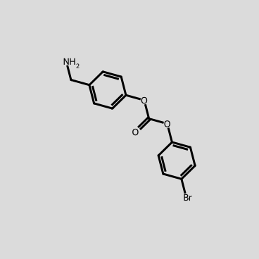 NCc1ccc(OC(=O)Oc2ccc(Br)cc2)cc1